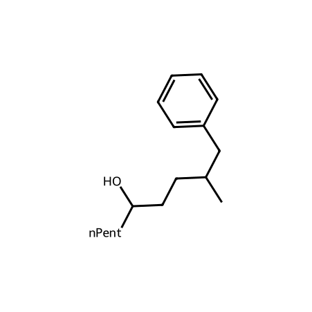 CCCCCC(O)CCC(C)Cc1ccccc1